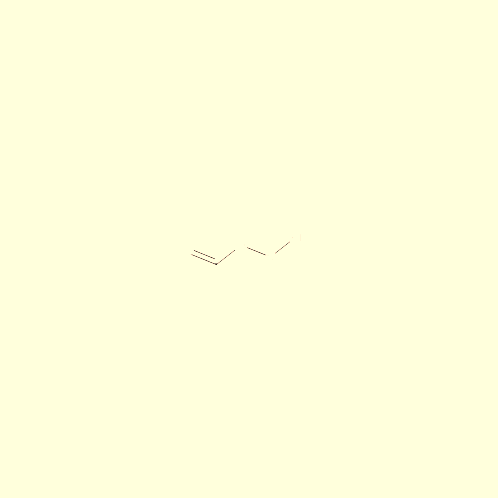 CSOC=S